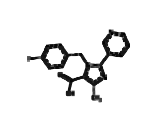 Cc1nc(-c2cccnc2)n(Cc2ccc(F)cc2)c1C(=O)O